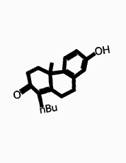 CCCCC1=C2CCc3cc(O)ccc3C2(C)CCC1=O